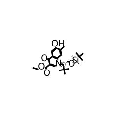 CCOC(=O)c1cn([C@H](CO[Si](C)(C)C(C)(C)C)C(C)(C)C)c2cc(C)c(O)cc2c1=O